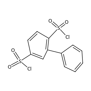 O=S(=O)(Cl)c1ccc(S(=O)(=O)Cl)c(-c2ccccc2)c1